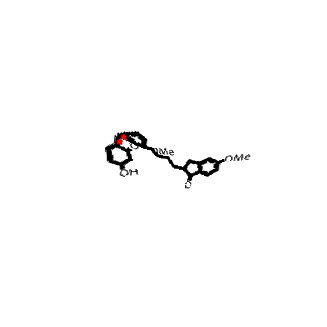 COc1ccc2c(c1)CC(CCCCN1CCC34C=CC(O)CC3Oc3c(OC)ccc(c34)C1)C2=O